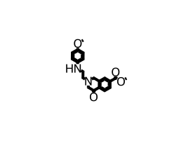 COC(=O)c1ccc2c(c1)CN(CCNc1ccc(OC)cc1)CC2=O